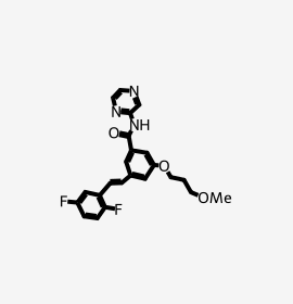 COCCCOc1cc(/C=C/c2cc(F)ccc2F)cc(C(=O)Nc2cnccn2)c1